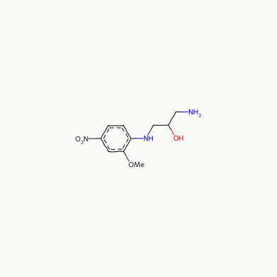 COc1cc([N+](=O)[O-])ccc1NCC(O)CN